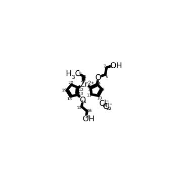 C[CH]=[Zr+2]([C]1=C(OCCO)C=CC1)[C]1=C(OCCO)C=CC1.[Cl-].[Cl-]